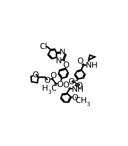 COc1ccccc1C(=O)NS(=O)(=O)c1ccc(C(=O)NC2CC2)cc1.C[C@@H](Oc1ccc(Oc2cnc3cc(Cl)ccc3n2)cc1)C(=O)OCC1CCCO1